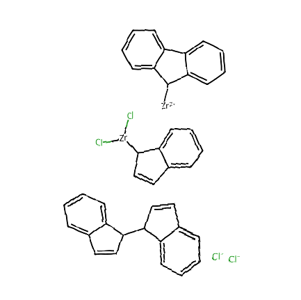 C1=CC(C2C=Cc3ccccc32)c2ccccc21.[Cl-].[Cl-].[Cl][Zr]([Cl])[CH]1C=Cc2ccccc21.[Zr+2][CH]1c2ccccc2-c2ccccc21